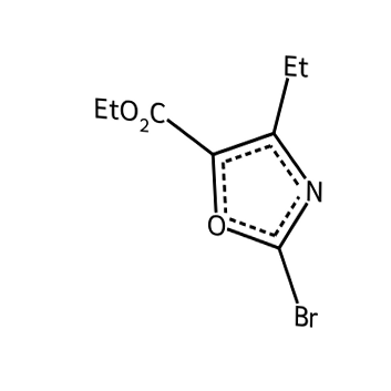 CCOC(=O)c1oc(Br)nc1CC